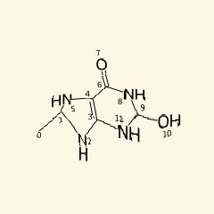 CC1NC2=C(N1)C(=O)NC(O)N2